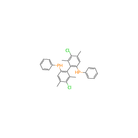 Cc1cc(Pc2ccccc2)c(-c2c(Pc3ccccc3)cc(C)c(Cl)c2C)c(C)c1Cl